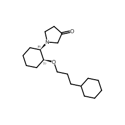 O=C1CCN([C@@H]2CCCC[C@@H]2OCCCC2CCCCC2)C1